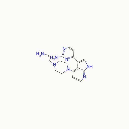 NCCN1CCN(c2ccnc3[nH]cc(-c4ccnc(N)n4)c23)CC1